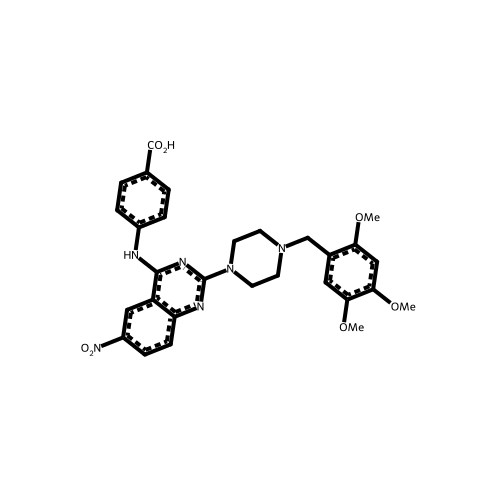 COc1cc(OC)c(OC)cc1CN1CCN(c2nc(Nc3ccc(C(=O)O)cc3)c3cc([N+](=O)[O-])ccc3n2)CC1